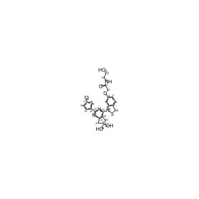 O=C(COc1ccc2c(c1)N(c1nc(-c3ccc(Cl)s3)nc3c1CS(O)(O)C3)CC2)NCCO